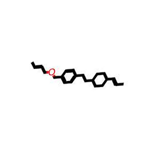 CC=CCOCc1ccc(CCC2CCC(C=CC)CC2)cc1